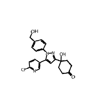 O=C1CCC(O)(c2cc(-c3ccc(Cl)nc3)n(-c3ccc(CO)cc3)n2)CC1